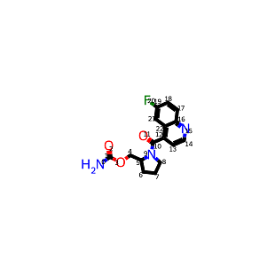 NC(=O)OCC1CCCN1C(=O)c1ccnc2ccc(F)cc12